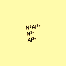 [Al+3].[Al+3].[N-3].[N-3]